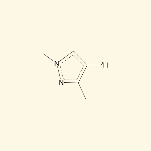 [2H]c1cn(C)nc1C